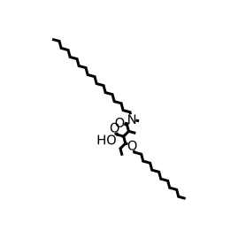 CCCCCCCCCCCCCCCCCCN(C)C(=O)C(C)C(C(=O)O)C(CC)OCCCCCCCCCCCC